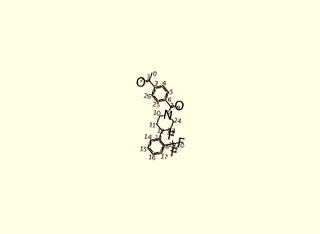 CC(=O)c1ccc(C(=O)N2CCC(c3ccccc3C(F)(F)F)CC2)cc1